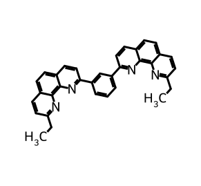 CCc1ccc2ccc3ccc(-c4cccc(-c5ccc6ccc7ccc(CC)nc7c6n5)c4)nc3c2n1